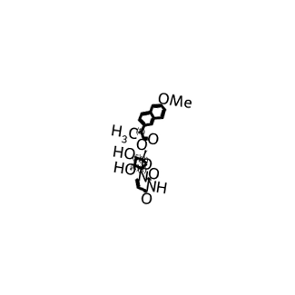 COc1ccc2cc([C@H](C)C(=O)OC[C@H]3O[C@@H](n4ccc(=O)[nH]c4=O)[C@H](O)[C@@H]3O)ccc2c1